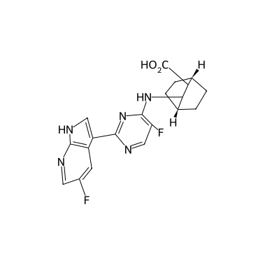 O=C(O)C1C(Nc2nc(-c3c[nH]c4ncc(F)cc34)ncc2F)[C@H]2CC[C@@H]1CC2